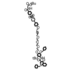 CC(C)(C)OC(=O)CNC(=O)c1ccc(S(=O)(=O)N2CCC(c3ccc(OCCOCCOCCOCCOCCOc4cc(C(C)(C)C)c(NC(=O)c5cn(Cc6ccccc6)c6ccccc6c5=O)cc4OCc4ccccc4)cc3)CC2)cc1